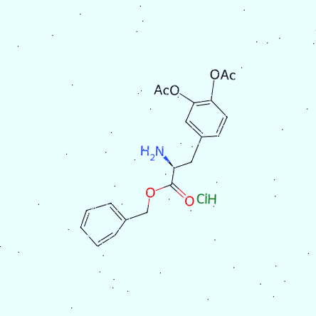 CC(=O)Oc1ccc(C[C@H](N)C(=O)OCc2ccccc2)cc1OC(C)=O.Cl